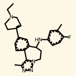 CCN1CC=C(c2ccc3c(c2)C(Nc2ccc(F)c(C)c2)CCn2nnc(C)c2-3)CC1